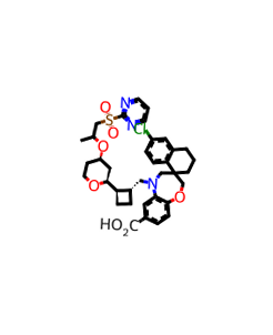 CC(CS(=O)(=O)c1ncccn1)O[C@@H]1CCO[C@H]([C@@H]2CC[C@H]2CN2CC3(CCCc4cc(Cl)ccc43)COc3ccc(C(=O)O)cc32)C1